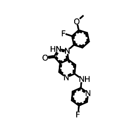 COc1cccc(-n2[nH]c(=O)c3cnc(Nc4ccc(F)cn4)cc32)c1F